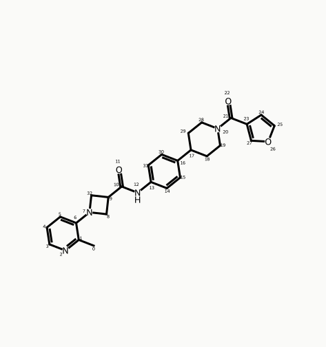 Cc1ncccc1N1CC(C(=O)Nc2ccc(C3CCN(C(=O)c4ccoc4)CC3)cc2)C1